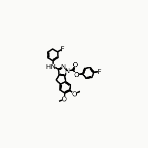 COc1cc2c(cc1OC)-c1c(c(NC3=CC(F)CC=C3)nn1C(=O)Oc1ccc(F)cc1)C2